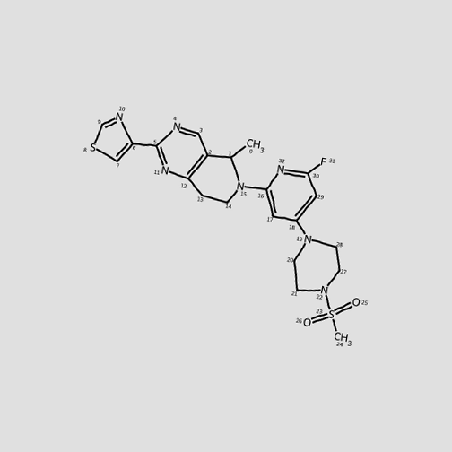 CC1c2cnc(-c3cscn3)nc2CCN1c1cc(N2CCN(S(C)(=O)=O)CC2)cc(F)n1